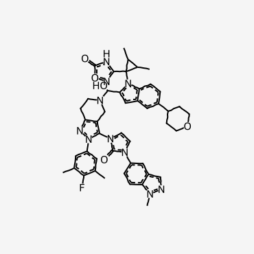 Cc1cc(-n2nc3c(c2-n2ccn(-c4ccc5c(cnn5C)c4)c2=O)CN(C(O)c2cc4cc(C5CCOCC5)ccc4n2C2(c4noc(=O)[nH]4)C(C)C2C)CC3)cc(C)c1F